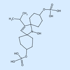 CC(C)C1=CC2(CCC(OP(=O)(O)O)CC2)N(O)C12CCC(OP(=O)(O)O)CC2